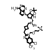 CC(C)N(CC1CC(Cc2nc3cc(C(F)(F)F)c(Cl)cc3n2COCC[Si](C)(C)C)C1)C[C@H]1C[C@@H](n2ccc3c(N)ncnc32)C2OC(C)(C)O[C@@H]21